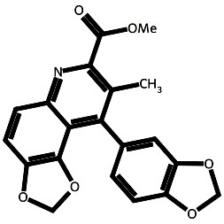 COC(=O)c1nc2ccc3c(c2c(-c2ccc4c(c2)OCO4)c1C)OCO3